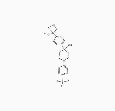 COC1(c2ccc(C3(O)CCN(c4ccc(C(F)(F)F)cc4)CC3)cc2)COC1